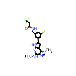 CNc1nc2[nH]c(-c3cc(F)cc(CNC(=O)CC(F)(F)F)c3)cc2c2c1ncn2C